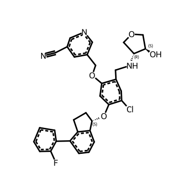 N#Cc1cncc(COc2cc(O[C@H]3CCc4c(-c5ccccc5F)cccc43)c(Cl)cc2CN[C@@H]2COC[C@H]2O)c1